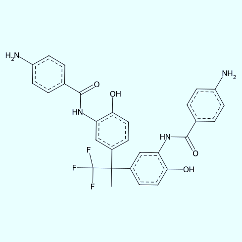 CC(c1ccc(O)c(NC(=O)c2ccc(N)cc2)c1)(c1ccc(O)c(NC(=O)c2ccc(N)cc2)c1)C(F)(F)F